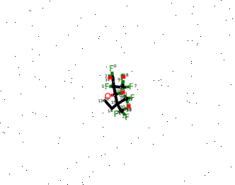 FC(F)(F)C(F)(C(F)(F)F)C1(F)OCCC1(C(F)(F)F)C(F)(F)F